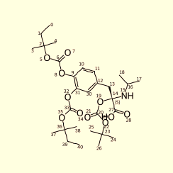 CCC(C)(C)OC(=O)Oc1ccc(C[C@](NC(C)C)(OC(=O)OC(C)(C)C)C(=O)O)cc1OC(=O)OC(C)(C)CC